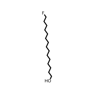 OCCCCCCCCCCCCCCCF